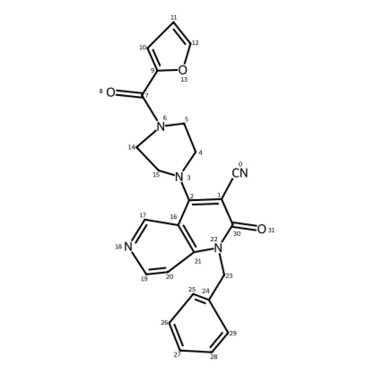 N#Cc1c(N2CCN(C(=O)c3ccco3)CC2)c2cnccc2n(Cc2ccccc2)c1=O